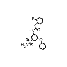 NS(=O)(=O)c1cc(NC(=O)Cc2ccccc2F)cc(Oc2ccccc2)c1